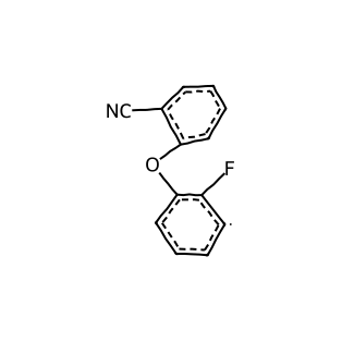 N#Cc1ccccc1Oc1ccc[c]c1F